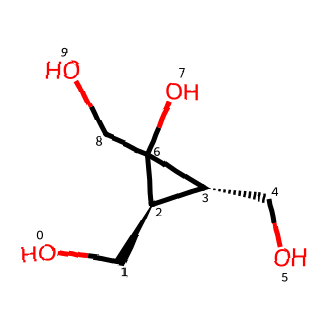 OC[C@@H]1[C@@H](CO)C1(O)CO